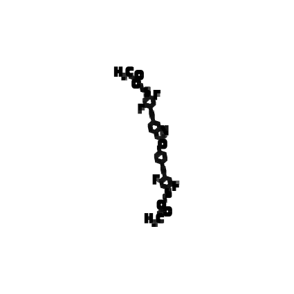 C=CC(=O)OCCSc1cc(F)c(C#Cc2ccc(COc3cnc4cc(C#Cc5cc(F)c(SCCOC(=O)C=C)cc5F)ccc4c3)cc2)cc1F